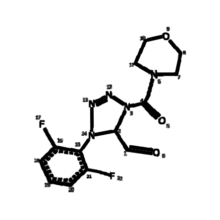 O=CC1N(C(=O)N2CCOCC2)N=NN1c1c(F)cccc1F